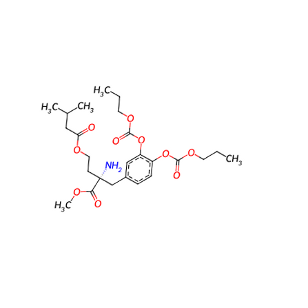 CCCOC(=O)Oc1ccc(C[C@](N)(CCOC(=O)CC(C)C)C(=O)OC)cc1OC(=O)OCCC